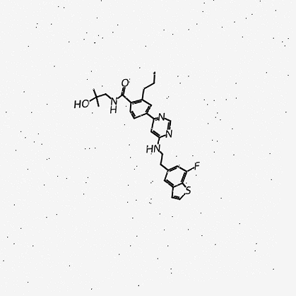 CCCc1cc(-c2cc(NCCc3cc(F)c4sccc4c3)ncn2)ccc1C(=O)NCC(C)(C)O